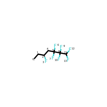 [CH2]C[C@H](F)CC(F)(F)C(F)(F)C(F)F